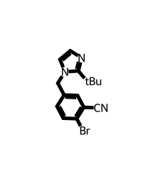 CC(C)(C)c1nccn1Cc1ccc(Br)c(C#N)c1